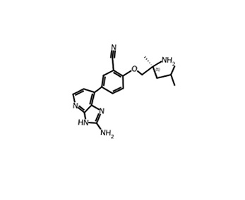 CC(C)C[C@](C)(N)COc1ccc(-c2ccnc3[nH]c(N)nc23)cc1C#N